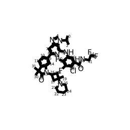 CC(C)n1cnc2cc(-c3ccc4c(c3)N(C3CC(C)(N5CCCCC5)C3)C(=O)C4(C)C)nc(Nc3cc(C(=O)NCC(F)F)c(Cl)c(F)c3F)c21